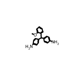 COc1ccccc1C(c1ccc(N)cc1)c1ccc(N)cc1